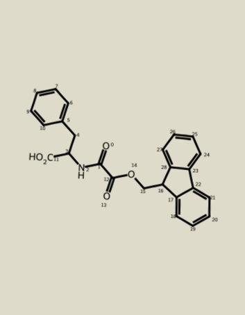 O=C(NC(Cc1ccccc1)C(=O)O)C(=O)OCC1c2ccccc2-c2ccccc21